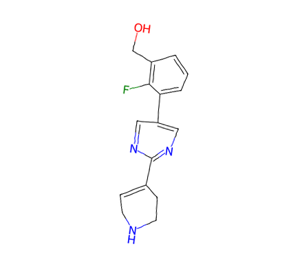 OCc1cccc(-c2cnc(C3=CCNCC3)nc2)c1F